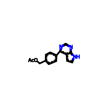 CC(=O)OCc1ccc(-c2ncnc3[nH]ccc23)cc1